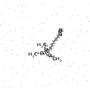 C=CCOCC(COCC=C)(COCC=C)COCCCCCCCCCCN=[N+]=[N-]